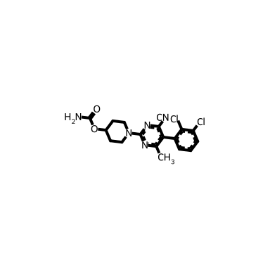 Cc1nc(N2CCC(OC(N)=O)CC2)nc(C#N)c1-c1cccc(Cl)c1Cl